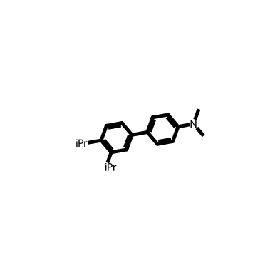 CC(C)c1ccc(-c2ccc(N(C)C)cc2)cc1C(C)C